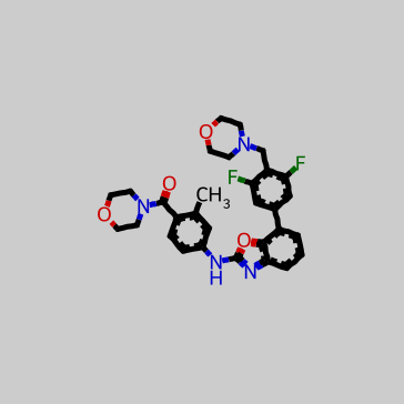 Cc1cc(Nc2nc3cccc(-c4cc(F)c(CN5CCOCC5)c(F)c4)c3o2)ccc1C(=O)N1CCOCC1